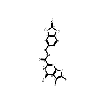 Cc1sc2nc(C(=O)NCc3ccc4[nH]c(=O)[nH]c4c3)[nH]c(=O)c2c1C